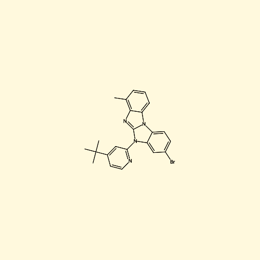 Cc1cccc2c1nc1n(-c3cc(C(C)(C)C)ccn3)c3cc(Br)ccc3n21